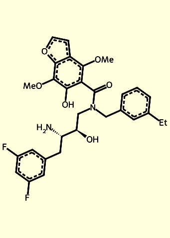 CCc1cccc(CN(C[C@@H](O)[C@@H](N)Cc2cc(F)cc(F)c2)C(=O)c2c(O)c(OC)c3occc3c2OC)c1